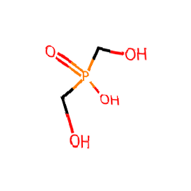 O=P(O)(CO)CO